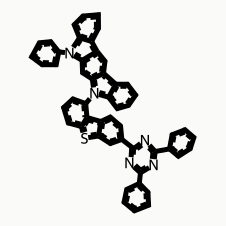 c1ccc(-c2nc(-c3ccccc3)nc(-c3ccc4c(c3)sc3cccc(-n5c6ccccc6c6cc7c8ccccc8n(-c8ccccc8)c7cc65)c34)n2)cc1